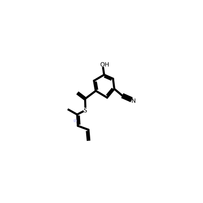 C=C/C=C(/C)SC(=C)c1cc(O)cc(C#N)c1